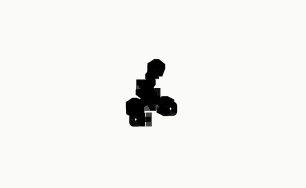 Oc1cccc(-c2nc(N3CCOCC3)nc3c2cnn3CCN2CCCC2)c1